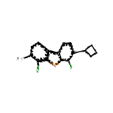 Cc1ccc2c(sc3c(F)c(C4CCC4)ccc32)c1F